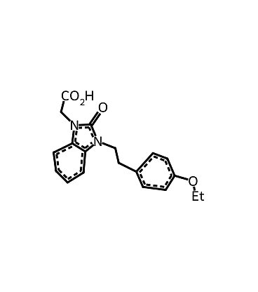 CCOc1ccc(CCn2c(=O)n(CC(=O)O)c3ccccc32)cc1